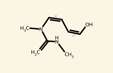 C=C(NC)N(C)/C=C\C=C/O